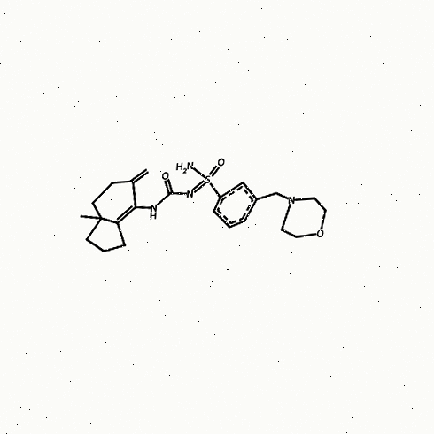 C=C1CCC2(C)CCCC2=C1NC(=O)N=S(N)(=O)c1cccc(CN2CCOCC2)c1